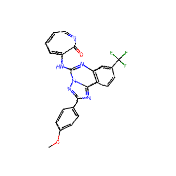 COc1ccc(-c2nc3c4ccc(C(F)(F)F)cc4nc(Nc4ccccnc4=O)n3n2)cc1